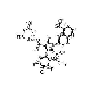 CCC(=O)O.CN(C(=O)[C@@H]1CN(C(=O)OC(C)(C)C)C(=O)N1c1ccc2nccc([Se]C(F)(F)F)c2c1)c1ccc(F)c(Cl)c1F